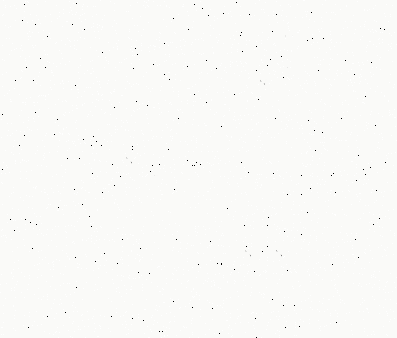 CC(=O)N1c2ccc(-c3cnn(CCO)c3)c(OCC(=O)N3CCCC3)c2CC[C@@H]1C